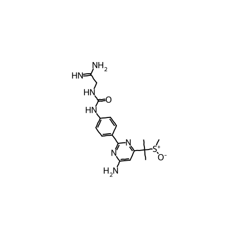 C[S+]([O-])C(C)(C)c1cc(N)nc(-c2ccc(NC(=O)NCC(=N)N)cc2)n1